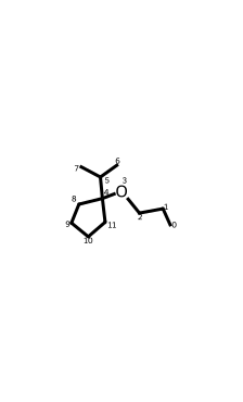 CCCOC1(C(C)C)CCCC1